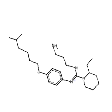 CCC1CCCCN1/C(=N/c1ccc(OCCCCC(C)C)cc1)NCCCN